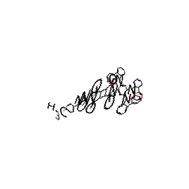 Cc1ccc(-c2nnc(N3C(=O)C4C(C3=O)C3C(=O)N(c5cc(-n6c7ccccc7c7ccccc76)c(-n6c7ccccc7c7ccccc76)cc5-n5c6ccccc6c6ccccc65)C(=O)C43)o2)cc1